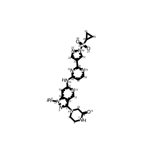 CC(C)n1nc(N2CCNC(=O)C2)c2cnc(Nc3ccnc(-c4cnn(S(=O)(=O)C5CC5)c4)n3)cc21